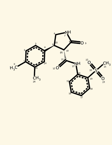 Cc1ccc([C@H]2CNC(=O)[C@@H]2C(=O)Nc2ccccc2S(C)(=O)=O)cc1C